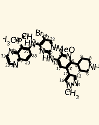 COc1nc(C2CCNCC2)c(-c2cnn(C)c2)cc1Nc1ncc(Br)c(Nc2ccc3nccnc3c2P(C)C)n1